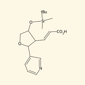 CC(C)(C)[Si](C)(C)OC1COC(c2cccnc2)C1C=CC(=O)O